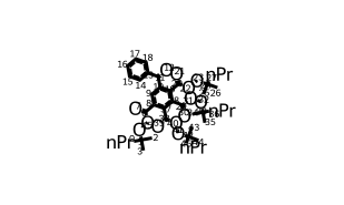 CCCC(C)(C)OOC(=O)c1cc(C(=O)c2ccccc2)c(C(=O)OOC(C)(C)CCC)c(C(=O)OOC(C)(C)CCC)c1C(=O)OOC(C)(C)CCC